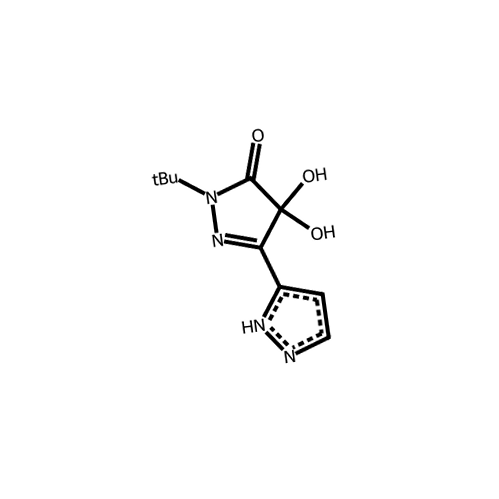 CC(C)(C)N1N=C(c2ccn[nH]2)C(O)(O)C1=O